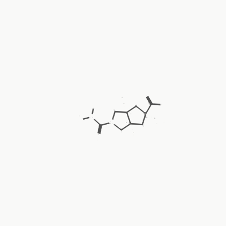 CN(C)C(=O)N1C[C@@H]2C[C@](C)(C(=O)O)C[C@@H]2C1